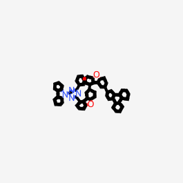 c1ccc(-c2nc(-c3cccc4oc5ccc(-c6cccc7oc8ccc(-c9ccc%10c%11ccccc%11c%11ccccc%11c%10c9)cc8c67)cc5c34)nc(-n3c4ccccc4c4ccccc43)n2)cc1